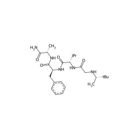 CC(C)[C@H](NC(=O)CN[C@@H](C)C(C)(C)C)C(=O)N[C@@H](Cc1ccccc1)C(=O)N[C@@H](C)C(N)=O